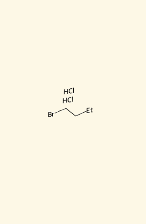 CCCCBr.Cl.Cl